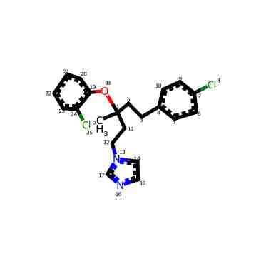 CC(CCc1ccc(Cl)cc1)(CCn1ccnc1)Oc1ccccc1Cl